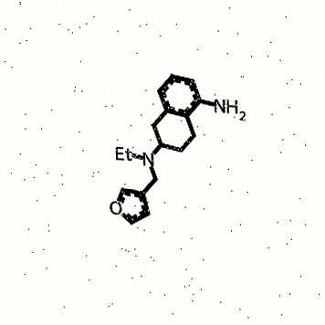 CCN(Cc1ccoc1)C1CCc2c(N)cccc2C1